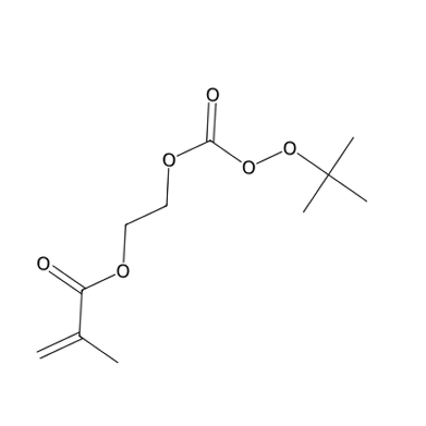 C=C(C)C(=O)OCCOC(=O)OOC(C)(C)C